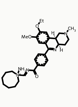 CCOc1cc2c(cc1OC)C(c1ccc(C(=O)N=C[N+]3(N)CCCCCCC3)cc1)=N[C@@H]1CCN(C)C[C@H]21